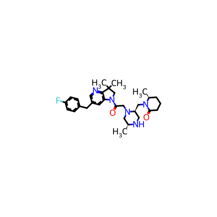 C[C@@H]1CN(CC(=O)N2CC(C)(C)c3ncc(Cc4ccc(F)cc4)cc32)[C@@H](CN2C(=O)CCC[C@H]2C)CN1